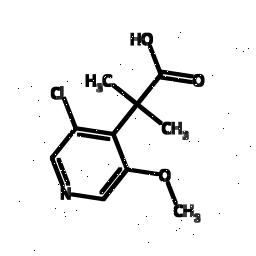 COc1cncc(Cl)c1C(C)(C)C(=O)O